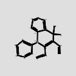 C=CC1=C(C=C)C(C)(C)c2ccccc2N1c1ccccc1